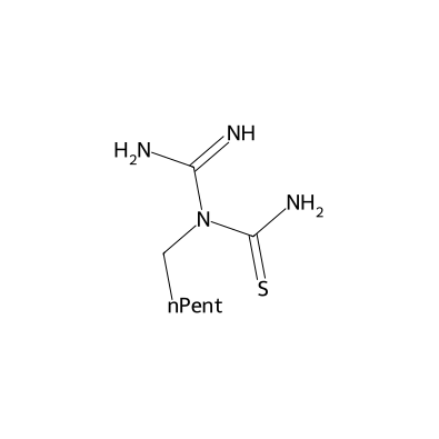 CCCCCCN(C(=N)N)C(N)=S